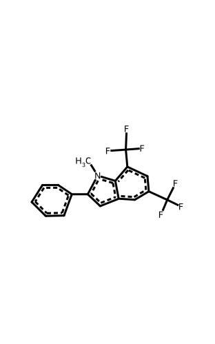 Cn1c(-c2ccccc2)cc2cc(C(F)(F)F)cc(C(F)(F)F)c21